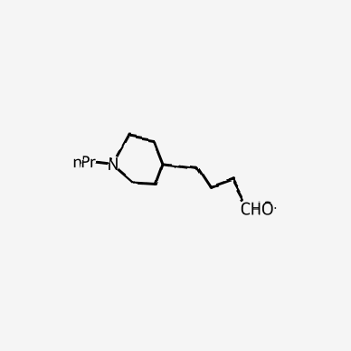 CCCN1CCC(CCC[C]=O)CC1